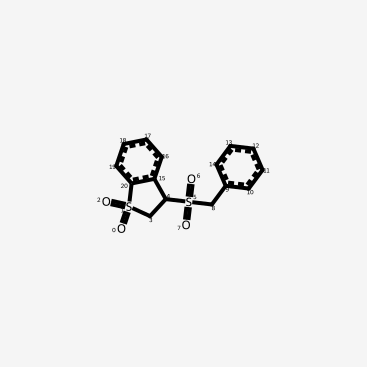 O=S1(=O)CC(S(=O)(=O)Cc2ccccc2)c2ccccc21